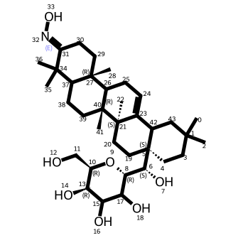 CC1(C)CC[C@]2([C@H](O)[C@H]3O[C@H](CO)[C@H](O)C(O)C3O)CC[C@]3(C)C(=CCC4[C@@]5(C)CC/C(=N\O)C(C)(C)C5CC[C@]43C)C2C1